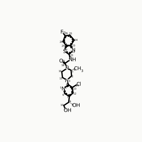 C[C@@H]1CN(c2ncc([C@H](O)CO)cc2Cl)CCN1C(=O)Nc1nc2ccc(F)cc2s1